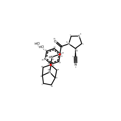 Cl.Cl.N#C[C@@H]1CSCN1C(=O)CNC1CC2CCC(C1)N2c1cnccn1